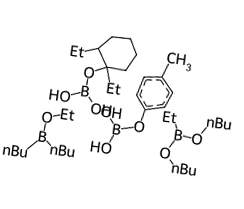 CCC1CCCCC1(CC)OB(O)O.CCCCB(CCCC)OCC.CCCCOB(CC)OCCCC.Cc1ccc(OB(O)O)cc1